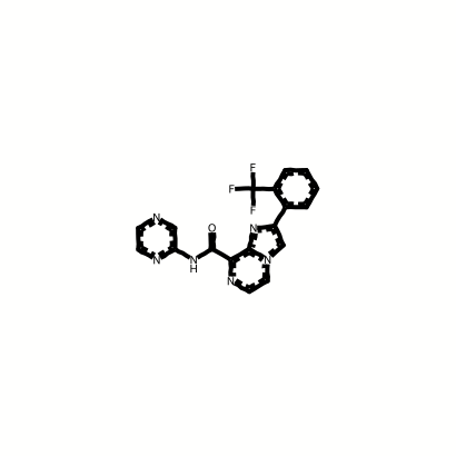 O=C(Nc1cnccn1)c1nccn2cc(-c3ccccc3C(F)(F)F)nc12